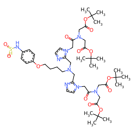 CC(C)(C)OC(=O)CN(CC(=O)OC(C)(C)C)C(=O)Cn1ccnc1CN(CCCCOc1ccc(N[SH](=O)=O)cc1)Cc1nccn1CC(=O)N(CC(=O)OC(C)(C)C)CC(=O)OC(C)(C)C